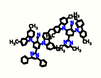 Cc1ccc2c(c1)c1cc(C)ccc1n2-c1cc(-c2nc(-c3ccccc3)cc(-c3ccccc3)n2)cc(-n2c3ccc(C)cc3c3cc(Cc4cc5c6ccc(C)cc6n(-c6cc(-c7nc(C)cc(C)n7)cc(-n7c8cc(C)ccc8c8ccc(C)cc87)c6C#N)c5cc4C)ccc32)c1C#N